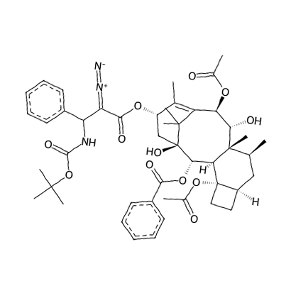 CC(=O)O[C@@H]1C2=C(C)[C@@H](OC(=O)C(=[N+]=[N-])C(NC(=O)OC(C)(C)C)c3ccccc3)C[C@@](O)([C@@H](OC(=O)c3ccccc3)[C@@H]3[C@]4(OC(C)=O)CC[C@@H]4C[C@H](C)[C@@]3(C)[C@H]1O)C2(C)C